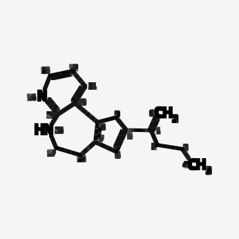 C=C(CCC)C1=CC2=C(C1)c1cccnc1NCC2